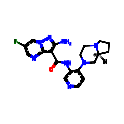 Nc1nn2cc(F)cnc2c1C(=O)Nc1cnccc1N1CCN2CCC[C@H]2C1